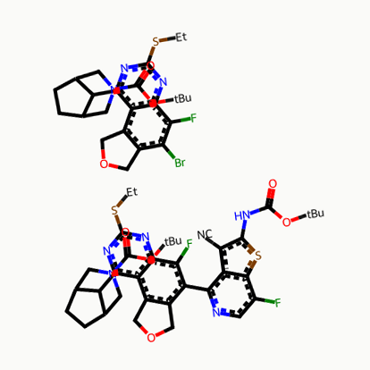 CCSc1nc(C2C3CCC2CN(C(=O)OC(C)(C)C)C3)c2c3c(c(-c4ncc(F)c5sc(NC(=O)OC(C)(C)C)c(C#N)c45)c(F)c2n1)COC3.CCSc1nc(C2C3CCC2CN(C(=O)OC(C)(C)C)C3)c2c3c(c(Br)c(F)c2n1)COC3